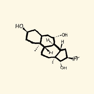 CC(C)[C@@H]1C[C@H]2[C@@H]3[C@@H](O)CC4C[C@H](O)CC[C@]4(C)[C@H]3CC[C@]2(C)[C@H]1O